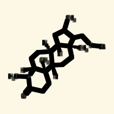 CCSCC1C(C)C[C@H]2[C@@H]3CC[C@H]4N(C)C(=O)CC[C@]4(C)[C@H]3CC[C@]12C